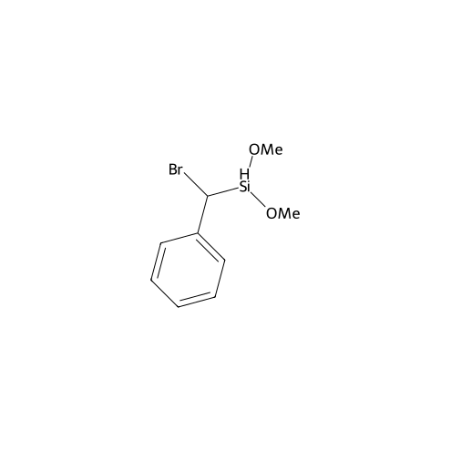 CO[SiH](OC)C(Br)c1ccccc1